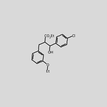 CCOC(=O)C(Cc1cccc(OCC)c1)C(O)c1ccc(Cl)cc1